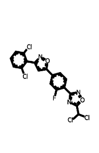 Fc1cc(-c2cc(-c3c(Cl)cccc3Cl)no2)ccc1-c1noc(C(Cl)Cl)n1